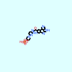 N#Cc1ccc(C(=O)c2nc3ccc(N4CCC(OP(=O)(O)O)CC4)nc3[nH]2)cc1-c1cncc2[nH]ccc12